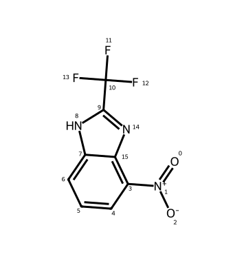 O=[N+]([O-])c1cccc2[nH]c(C(F)(F)F)nc12